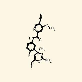 COc1cc(C(=O)Nc2ccc(F)c([C@]3(C)C=C(CF)OC(N)=N3)c2)ncc1C#N